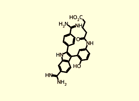 N=C(N)c1ccc(-c2[nH]c3cc(C(=N)N)ccc3c2-c2cc(NC(=O)CCCC(=O)O)ccc2O)cc1